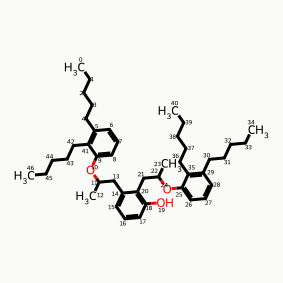 CCCCCc1cccc(OC(C)Cc2cccc(O)c2CC(C)Oc2cccc(CCCCC)c2CCCCC)c1CCCCC